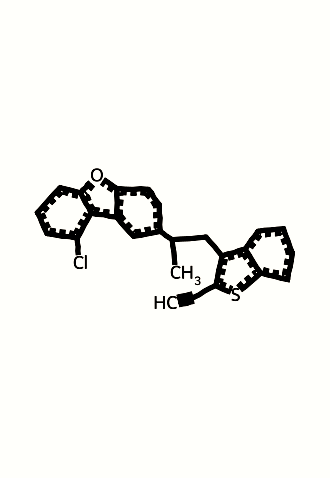 C#Cc1sc2ccccc2c1CC(C)c1ccc2oc3cccc(Cl)c3c2c1